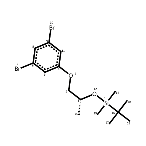 C[C@H](COc1cc(Br)cc(Br)c1)O[Si](C)(C)C(C)(C)C